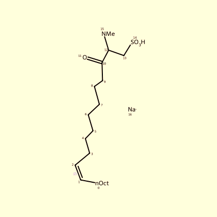 CCCCCCCC/C=C\CCCCCCCC(=O)C(CS(=O)(=O)O)NC.[Na]